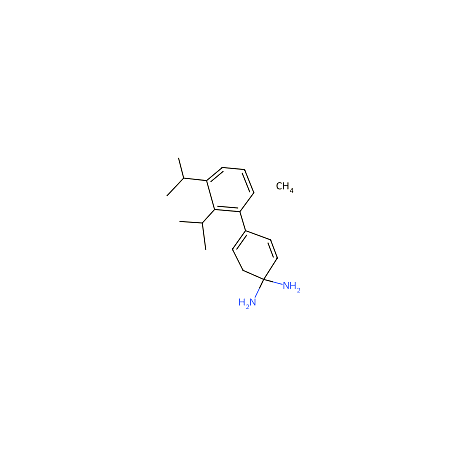 C.CC(C)c1cccc(C2=CCC(N)(N)C=C2)c1C(C)C